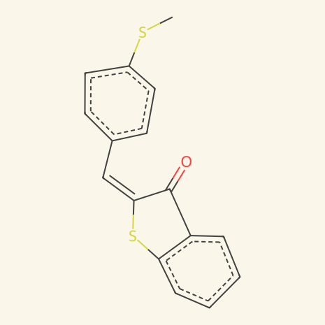 CSc1ccc(/C=C2/Sc3ccccc3C2=O)cc1